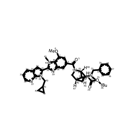 COc1cc(C(=O)N2C[C@H]3C[C@H](N(C)Cc4ccccc4)[C@@H]2[C@@H]3NC(=O)OC(C)(C)C)cc2nc(-c3cc4cccnc4n3CC3CC3)n(C)c12